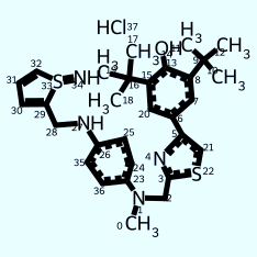 CN(Cc1nc(-c2cc(C(C)(C)C)c(O)c(C(C)(C)C)c2)cs1)c1ccc(NCC2=CC=CS2=N)cc1.Cl